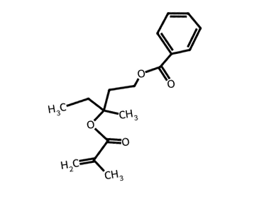 C=C(C)C(=O)OC(C)(CC)CCOC(=O)c1ccccc1